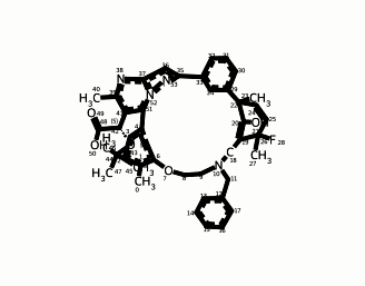 Cc1ccc2cc1OCCN(Cc1ccccc1)CC1=C(O)C(C)(C=CC1(C)F)c1cccc(c1)-c1cc3nc(C)c([C@H](OC(C)(C)C)C(=O)O)c-2n3n1